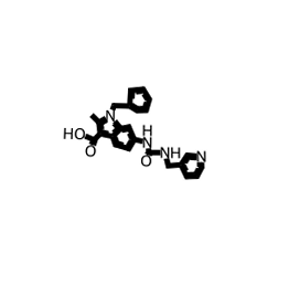 Cc1c(C(=O)O)c2ccc(NC(=O)NCc3cccnc3)cc2n1Cc1ccccc1